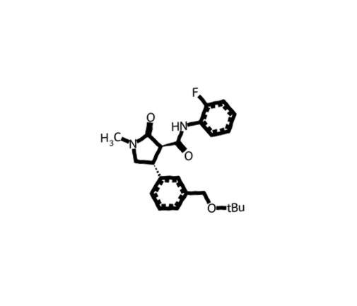 CN1C[C@@H](c2cccc(COC(C)(C)C)c2)[C@H](C(=O)Nc2ccccc2F)C1=O